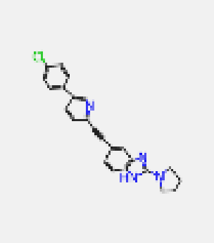 Clc1ccc(-c2ccc(C#Cc3ccc4[nH]c(N5CCCC5)nc4c3)nc2)cc1